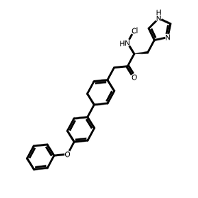 O=C(CC1=CCC(c2ccc(Oc3ccccc3)cc2)C=C1)[C@H](Cc1c[nH]cn1)NCl